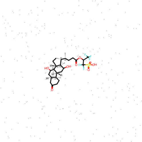 C[C@H](CCC(=O)OC(C(F)(F)F)C(F)(F)S(=O)(=O)O)[C@H]1CC[C@H]2[C@@H]3C(O)C[C@@H]4CC(=O)CC[C@]4(C)[C@H]3CC(O)[C@]12C